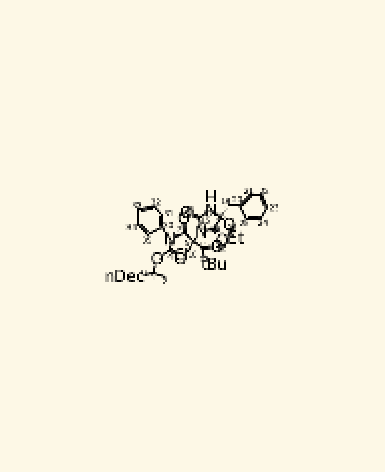 CCCCCCCCCCC(C)OC(=O)N(C(=O)C(Cl)(C(=O)C(C)(C)C)N1C(=O)N[C@@](Cc2ccccc2)(OCC)C1=O)c1ccccc1